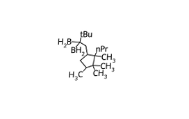 BC(B)(CC1CC(C)C(C)(C)C1(C)CCC)C(C)(C)C